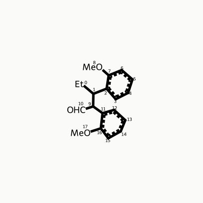 CCC(c1ccccc1OC)C(C=O)c1ccccc1OC